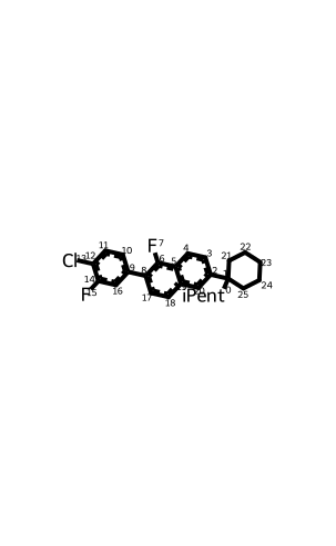 CCCC(C)C1(c2ccc3c(F)c(-c4ccc(Cl)c(F)c4)ccc3c2)CCCCC1